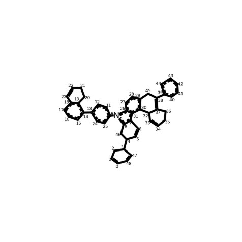 C1=CCC(C2C=Cc3c(n(-c4ccc(-c5cccc6c5CCC=C6)cc4)c4ccc5c(c34)C3C=CCCC3=C(c3ccccc3)C5)C2)C=C1